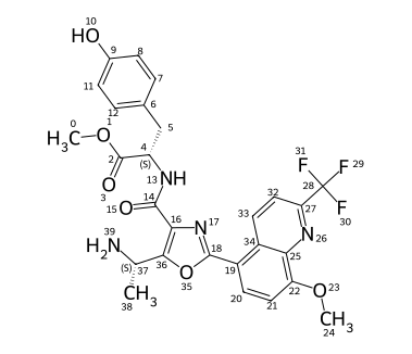 COC(=O)[C@H](Cc1ccc(O)cc1)NC(=O)c1nc(-c2ccc(OC)c3nc(C(F)(F)F)ccc23)oc1[C@H](C)N